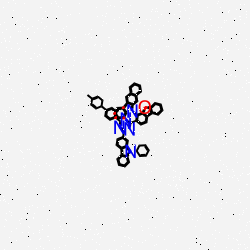 CC1=CCC(c2ccc(-c3nc(-c4ccc5c6ccccc6n(C6C=CC=CC6)c5c4)nc(-c4ccc5c(oc6ccccc65)c4-n4c5ccccc5c5cc6ccccc6cc54)n3)c(C)c2)C=C1